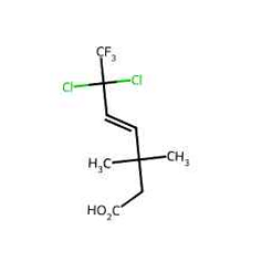 CC(C)(C=CC(Cl)(Cl)C(F)(F)F)CC(=O)O